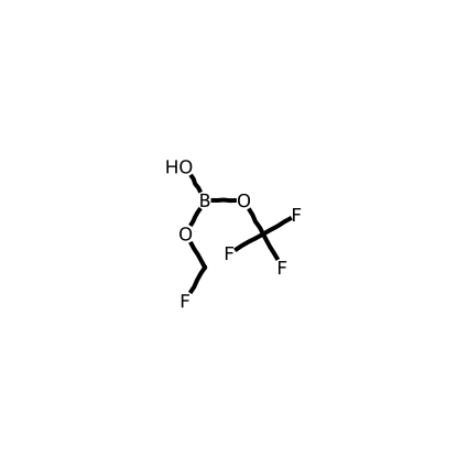 OB(OCF)OC(F)(F)F